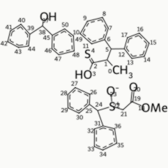 CC(C(O)=S)C(c1ccccc1)c1ccccc1.COC(=O)C[S+]([O-])C(c1ccccc1)c1ccccc1.OC(c1ccccc1)c1ccccc1